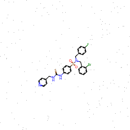 O=S(=O)(c1ccc(NC(=S)NCc2ccncc2)cc1)N(Cc1ccc(F)cc1)Cc1ccccc1Br